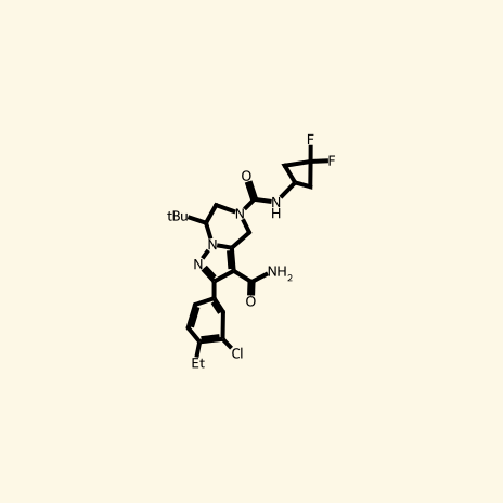 CCc1ccc(-c2nn3c(c2C(N)=O)CN(C(=O)NC2CC(F)(F)C2)CC3C(C)(C)C)cc1Cl